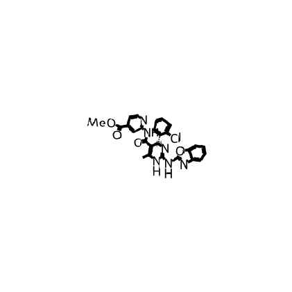 COC(=O)c1ccnc(NC(=O)C2=C(C)NC(Nc3nc4ccccc4o3)=N[C@H]2c2ccccc2Cl)c1